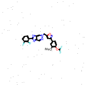 COc1cc(-c2cc(Cn3cc4nc(-c5cccc(F)c5F)nc-4cn3)on2)ccc1OC(F)F